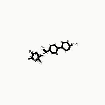 CCCC1CCC(C2CCC(C(=O)Oc3cc(F)c(F)nc3F)CC2)CC1